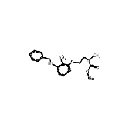 CN(CCOc1cccc(NCc2ccccc2)c1[N+](=O)[O-])C(=O)OC(C)(C)C